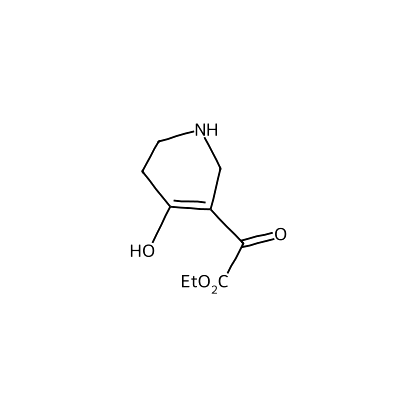 CCOC(=O)C(=O)C1=C(O)CCNC1